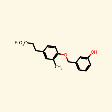 CCOC(=O)CCc1ccc(OCc2cccc(O)c2)c(C)c1